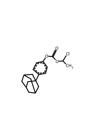 CC(Cl)OC(=O)Oc1ccc(C23CC4CC(CC(C4)C2)C3)cc1